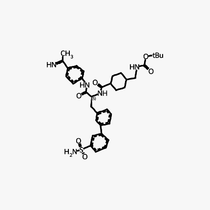 CC(=N)c1ccc(NC(=O)[C@H](Cc2cccc(-c3cccc(S(N)(=O)=O)c3)c2)NC(=O)C2CCC(CNC(=O)OC(C)(C)C)CC2)cc1